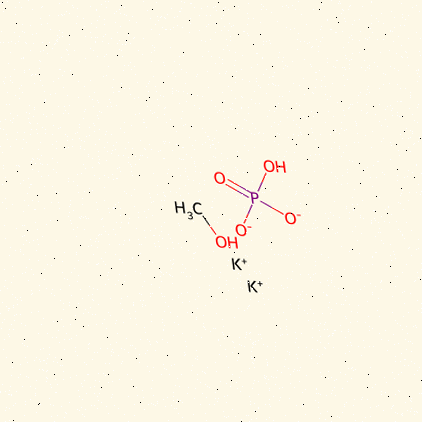 CO.O=P([O-])([O-])O.[K+].[K+]